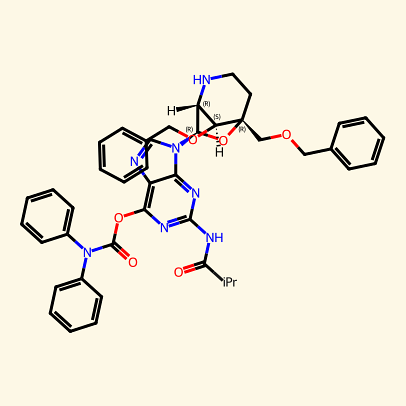 CC(C)C(=O)Nc1nc(OC(=O)N(c2ccccc2)c2ccccc2)c2ncn([C@@H]3O[C@@]4(COCc5ccccc5)CCN[C@@H]3[C@@H]4OCc3ccccc3)c2n1